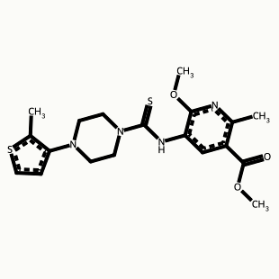 COC(=O)c1cc(NC(=S)N2CCN(c3ccsc3C)CC2)c(OC)nc1C